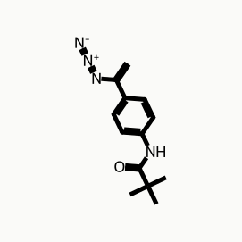 C=C(N=[N+]=[N-])c1ccc(NC(=O)C(C)(C)C)cc1